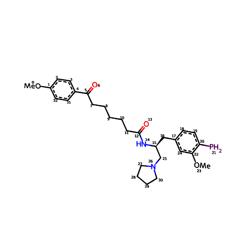 COc1ccc(C(=O)CCCCCC(=O)N[C@@H](Cc2ccc(P)c(OC)c2)CN2CCCC2)cc1